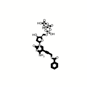 Nc1nc(=O)n([C@H]2C[C@@H](O)[C@@H](COP(=O)(O)OP(=O)(O)OP(=O)(O)O)O2)cc1C#CCSC(=O)c1ccccc1